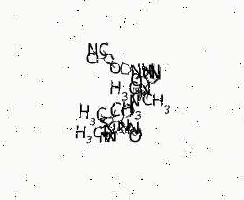 Cc1sc2c(c1C)C(c1ccc(N3C[C@@]4(C)CN(c5ccnnc5C(=O)NC5CCC(Oc6ccc(C#N)c(Cl)c6)CC5)C[C@@]4(C)C3)cc1)=N[C@@H](Cc1ncco1)c1nnc(C)n1-2